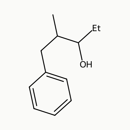 CCC(O)C(C)Cc1ccccc1